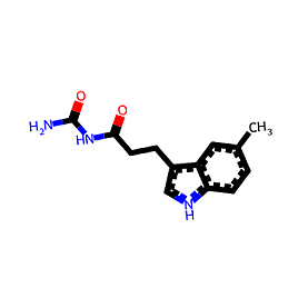 Cc1ccc2[nH]cc(CCC(=O)NC(N)=O)c2c1